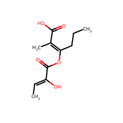 CC=C(O)C(=O)OC(CCC)=C(C)C(=O)O